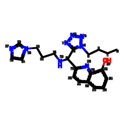 CCCCn1nnnc1C(NCCCn1ccnc1)c1ccc2cccc(O)c2n1